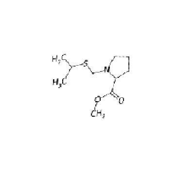 COC(=O)C1CCCN1CSC(C)C